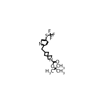 CC(C)(C)OC(=O)N1CC2(CC(Cc3ccc(SC(F)(F)F)cn3)C2)C1